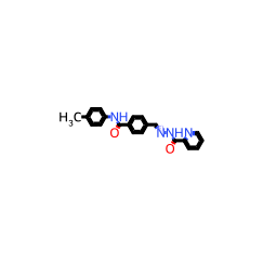 Cc1ccc(NC(=O)c2ccc(/C=N/NC(=O)c3ccccn3)cc2)cc1